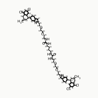 CN1Cc2c(Cl)cc(Cl)cc2C(c2ccc3cn(CCOCCOCCNC(=O)NCCCCNC(=O)NCCOCCOCCn4cc5ccc(C6CN(C)Cc7c(Cl)cc(Cl)cc76)cc5n4)nc3c2)C1